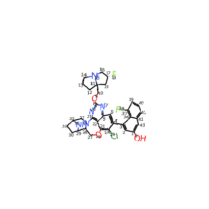 Oc1cc(-c2cc3nc(OCC45CCCN4C[C@H](F)C5)nc4c3c(c2Cl)OCC2C3CCC(CN42)N3)c2c(F)cccc2c1